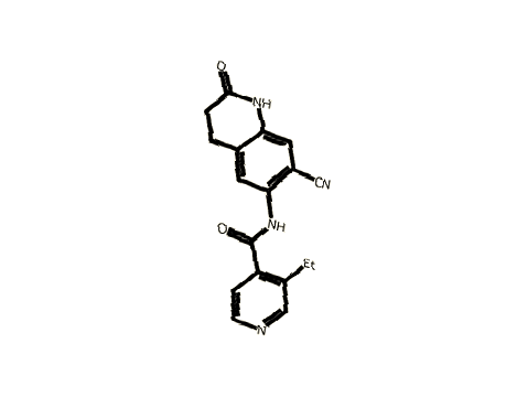 CCc1cnccc1C(=O)Nc1cc2c(cc1C#N)NC(=O)CC2